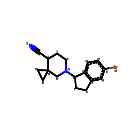 N#CC1CCN(C2CCc3cc(Br)ccc32)CC12CC2